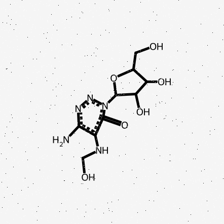 Nc1nnn(C2OC(CO)C(O)C2O)c(=O)c1NCO